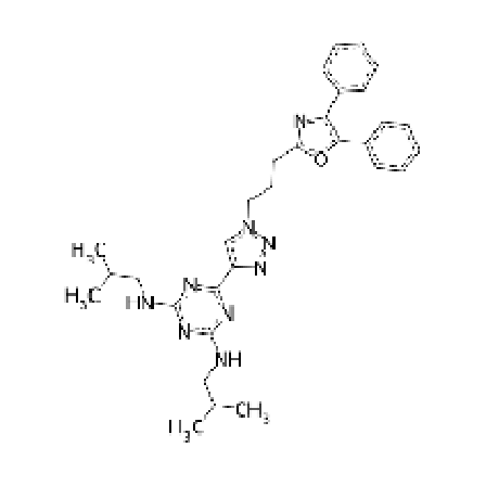 CC(C)CNc1nc(NCC(C)C)nc(-c2cn(CCCc3nc(-c4ccccc4)c(-c4ccccc4)o3)nn2)n1